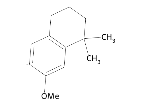 COc1[c]cc2c(c1)C(C)(C)CCC2